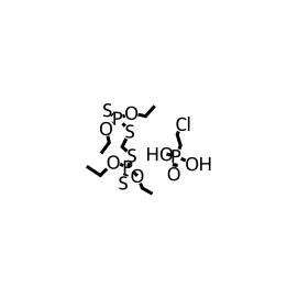 CCOP(=S)(OCC)SCSP(=S)(OCC)OCC.O=P(O)(O)CCCl